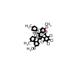 COc1ccc(C(=CC2(C=C(NC3(C)C=CC(C)=CC3)c3ccc(OC)cc3)OC(=O)c3c(Cl)c(Cl)c(Cl)c(Cl)c32)NC2(C)C=CC(C)=CC2)cc1